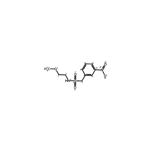 COCCNS(=O)(=O)Cc1cccc([N+](=O)[O-])c1